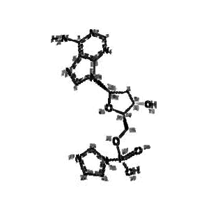 Nc1ncnc2c1ncn2[C@H]1C[C@H](O)[C@@H](COP(=O)(O)n2ccnc2)O1